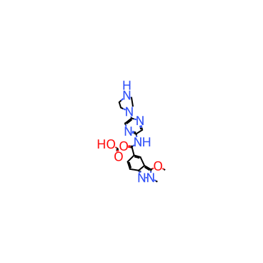 COc1c2cc(C(=O)Nc3cnc(N4CCNCC4)cn3)ccc2nn1C.O=CO